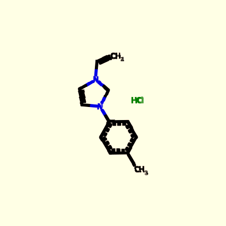 C=CN1C=CN(c2ccc(C)cc2)C1.Cl